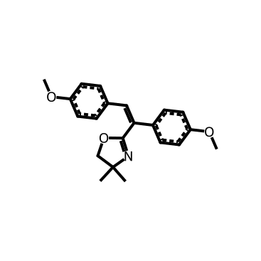 COc1ccc(C=C(C2=NC(C)(C)CO2)c2ccc(OC)cc2)cc1